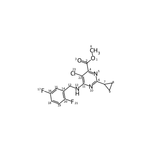 COC(=O)c1nc(C2CC2)nc(NCc2cc(F)ccc2F)c1Cl